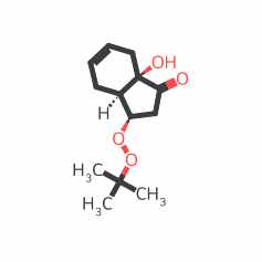 CC(C)(C)OO[C@@H]1CC(=O)[C@@]2(O)CC=CC[C@H]12